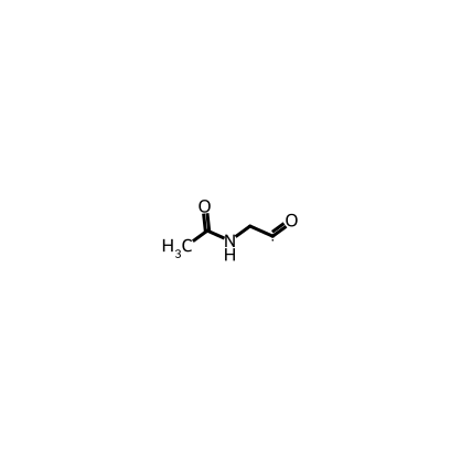 CC(=O)NC[C]=O